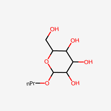 CCCOC1OC(CO)C(O)C(O)C1O